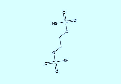 O=S(=O)(S)OCCOS(=O)(=O)S